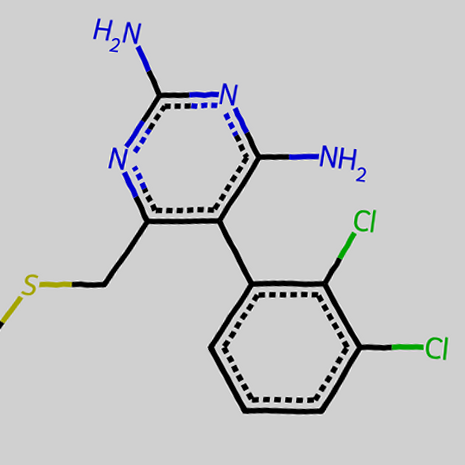 CSCc1nc(N)nc(N)c1-c1cccc(Cl)c1Cl